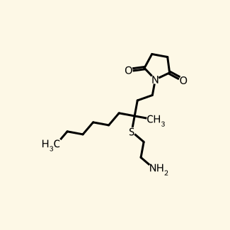 CCCCCCC(C)(CCN1C(=O)CCC1=O)SCCN